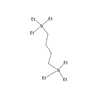 CC[Si](CC)(CC)CCCC[Si](CC)(CC)CC